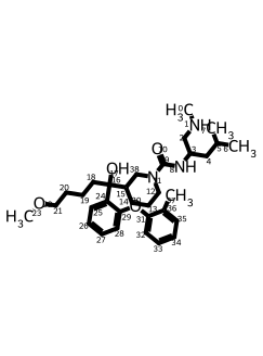 CNCC(CC(C)C)NC(=O)N1CCCC(C(O)(CCCCOC)c2ccccc2Oc2ccccc2C)C1